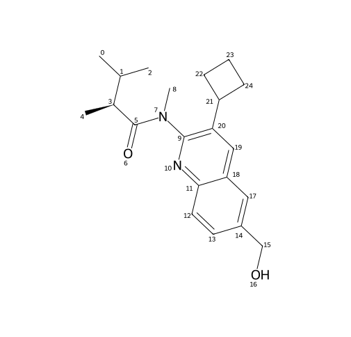 CC(C)[C@H](C)C(=O)N(C)c1nc2ccc(CO)cc2cc1C1CCC1